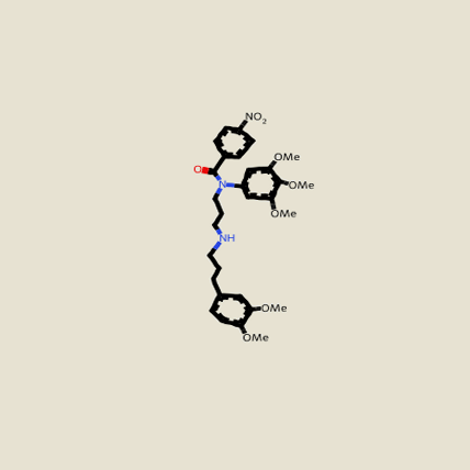 COc1ccc(CCCNCCCN(C(=O)c2ccc([N+](=O)[O-])cc2)c2cc(OC)c(OC)c(OC)c2)cc1OC